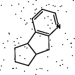 [c]1ccnc2c1C1CCCC1C2